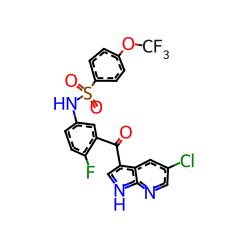 O=C(c1cc(NS(=O)(=O)c2ccc(OC(F)(F)F)cc2)ccc1F)c1c[nH]c2ncc(Cl)cc12